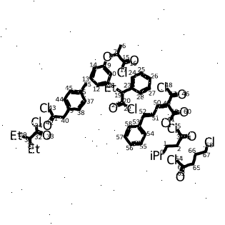 CC(C)CCC(=O)Cl.CC(Oc1ccccc1)C(=O)Cl.CCC(C(=O)Cl)c1ccccc1.CCC(CC)C(=O)Cl.Cc1ccc(CC(=O)Cl)cc1.O=C(Cl)C(=CC=Cc1ccccc1)C(=O)Cl.O=C(Cl)CCCCl